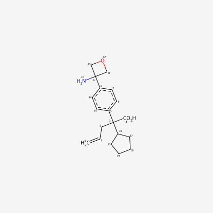 C=CCC(C(=O)O)(c1ccc(C2(N)COC2)cc1)C1CCCC1